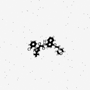 CC(C)(C)c1cc(C(=O)C(=O)Nc2ccc(OCCN3CCOCC3)c3ccccc23)n(-c2ccccc2Cl)n1